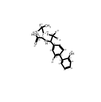 CC(C)(F)C[C@H](NC(c1ccc(-c2ccccc2O)c(F)c1)C(F)(F)F)C(=O)O